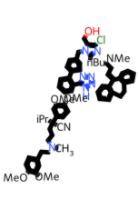 CCCCc1nc(Cl)c(CO)n1Cc1ccc(-c2ccccc2-c2nnn[nH]2)cc1.CNCCC=C1c2ccccc2CCc2ccccc21.COc1ccc(CCN(C)CCCC(C#N)(c2ccc(OC)c(OC)c2)C(C)C)cc1OC